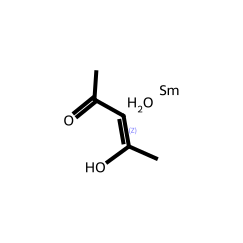 CC(=O)/C=C(/C)O.O.[Sm]